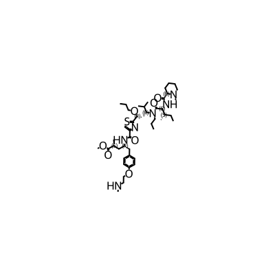 CCCO[C@H](C[C@H](C(C)C)N(CCC)C(=O)[C@@H](NC(=O)[C@H]1CCCCN1C)[C@@H](C)CC)c1nc(C(=O)N[C@@H](Cc2ccc(OCCNC)cc2)C[C@H](C)C(=O)OC)cs1